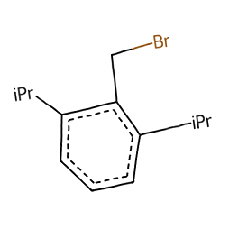 CC(C)c1cccc(C(C)C)c1CBr